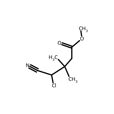 COC(=O)CC(C)(C)C(Cl)C#N